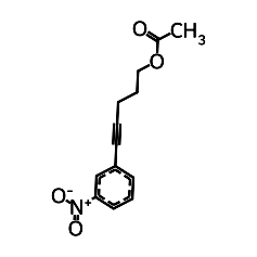 CC(=O)OCCCC#Cc1cccc([N+](=O)[O-])c1